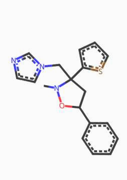 CN1OC(c2ccccc2)CC1(Cn1ccnc1)c1cccs1